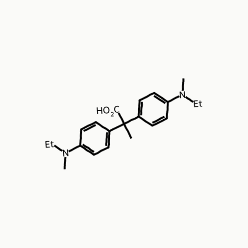 CCN(C)c1ccc(C(C)(C(=O)O)c2ccc(N(C)CC)cc2)cc1